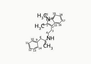 Cc1c(CCNC(C)Cc2ccccc2)c2ccccc2n1C